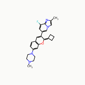 Cc1cn2cc(C3=Cc4ccc(N5CCN(C)CC5)cc4OC3=C3CCC3)cc(F)c2n1